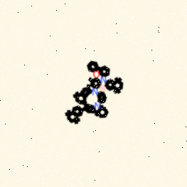 Cc1cc2c3c(c1)N(c1cccc4c1oc1ccccc14)c1cc4c(cc1B3c1ccc3cc1N2c1cc2c(cc1C)C(C)(C)CCC2(C)c1cc2c(cc1-c1ccc5c(c1)C(C)(C)CCC5(C)C)C1(C)CCCCC1(C)N32)C(C)(C)CCC4(C)C